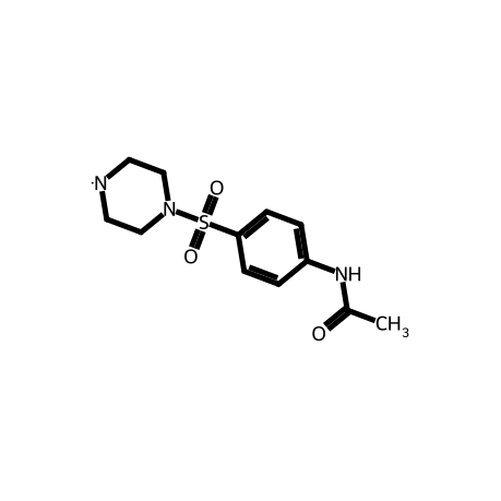 CC(=O)Nc1ccc(S(=O)(=O)N2CC[N]CC2)cc1